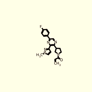 C=CC(=O)N1CCC(c2ncc(-c3ccc(F)cc3)nc2-c2ccn(C)n2)C1